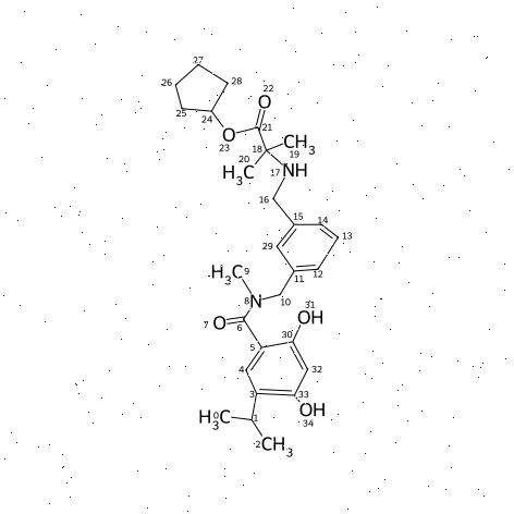 CC(C)c1cc(C(=O)N(C)Cc2cccc(CNC(C)(C)C(=O)OC3CCCC3)c2)c(O)cc1O